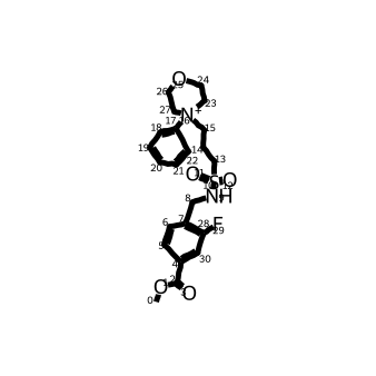 COC(=O)c1ccc(CNS(=O)(=O)CCC[N+]2(c3ccccc3)CCOCC2)c(F)c1